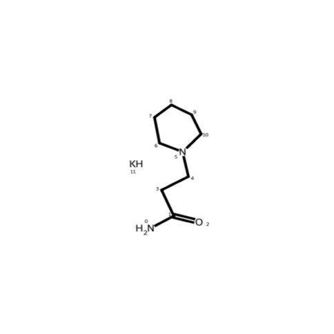 NC(=O)CCN1CCCCC1.[KH]